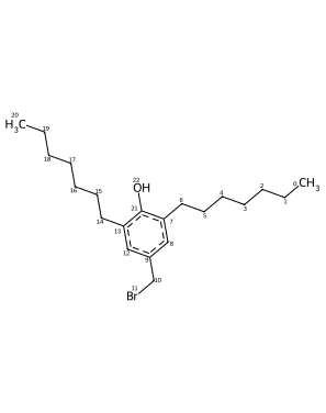 CCCCCCCc1cc(CBr)cc(CCCCCCC)c1O